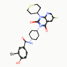 CC(C)(C)c1cc(C(=O)N[C@H]2CC[C@@H](n3c(=O)c4cc(F)cnc4n(C4CCSCC4)c3=O)CC2)ccc1O